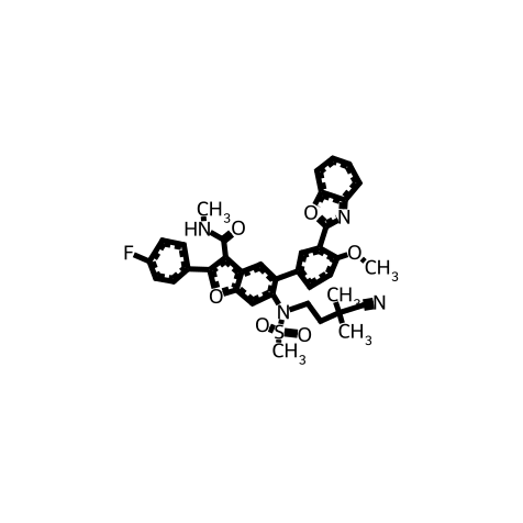 CNC(=O)c1c(-c2ccc(F)cc2)oc2cc(N(CCC(C)(C)C#N)S(C)(=O)=O)c(-c3ccc(OC)c(-c4nc5ccccc5o4)c3)cc12